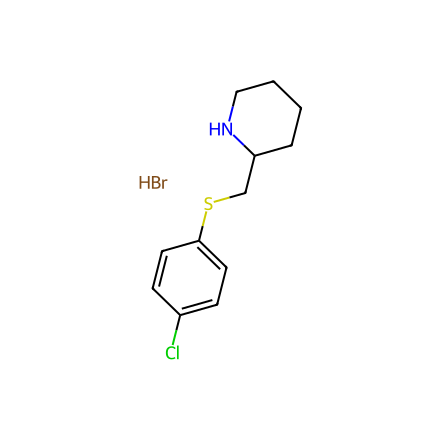 Br.Clc1ccc(SCC2CCCCN2)cc1